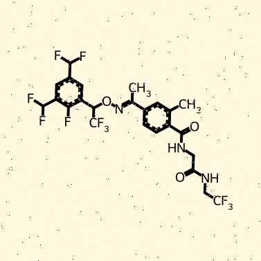 C/C(=N\OC(c1cc(C(F)F)cc(C(F)F)c1F)C(F)(F)F)c1ccc(C(=O)NCC(=O)NCC(F)(F)F)c(C)c1